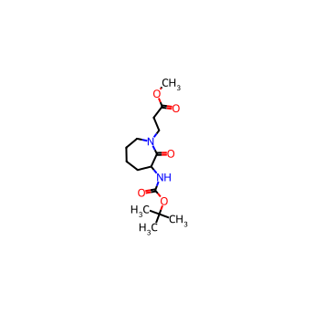 COC(=O)CCN1CCCCC(NC(=O)OC(C)(C)C)C1=O